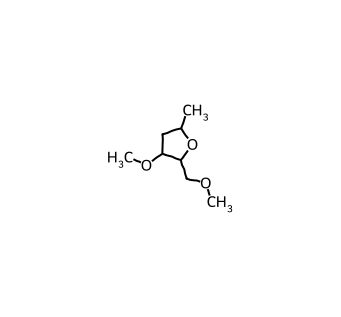 COCC1OC(C)CC1OC